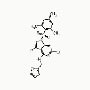 Cc1cc(C)c(S(=O)(=O)n2cc(F)c3c(NCc4ccco4)nc(Cl)nc32)c(C)c1